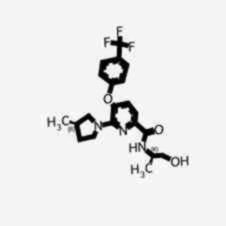 C[C@@H]1CCN(c2nc(C(=O)N[C@H](C)CO)ccc2Oc2ccc(C(F)(F)F)cc2)C1